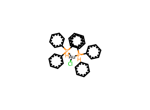 [Cl][Au]([PH](c1ccccc1)(c1ccccc1)c1ccccc1)[PH](c1ccccc1)(c1ccccc1)c1ccccc1